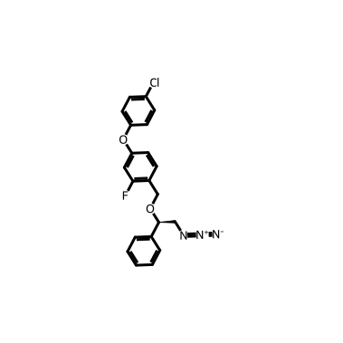 [N-]=[N+]=NC[C@H](OCc1ccc(Oc2ccc(Cl)cc2)cc1F)c1ccccc1